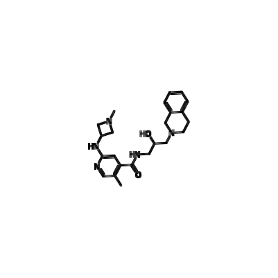 Cc1cnc(NC2CN(C)C2)cc1C(=O)NCC(O)CN1CCc2ccccc2C1